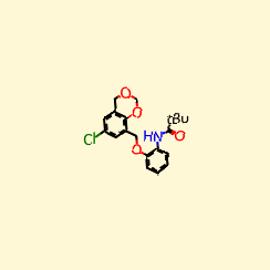 CC(C)(C)C(=O)Nc1ccccc1OCc1cc(Cl)cc2c1OCOC2